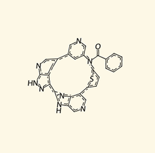 O=C(c1ccccc1)n1c2cncc(c2)c2cnc3[nH]nc(c4nc5c(cncc5c5ccc1s5)[nH]4)c3c2